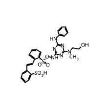 CN(CCO)c1nc(NOS(=O)(=O)c2ccccc2C=Cc2ccccc2S(=O)(=O)O)nc(Nc2ccccc2)n1